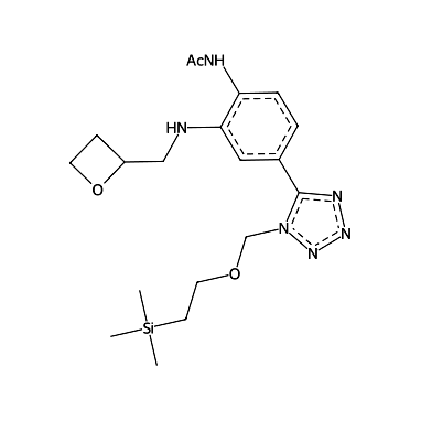 CC(=O)Nc1ccc(-c2nnnn2COCC[Si](C)(C)C)cc1NCC1CCO1